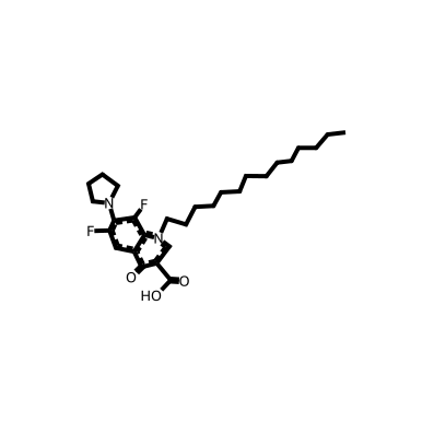 CCCCCCCCCCCCCCn1cc(C(=O)O)c(=O)c2cc(F)c(N3CCCC3)c(F)c21